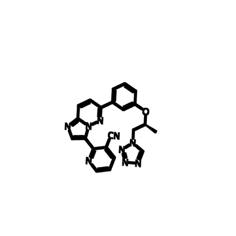 C[C@@H](Cn1cnnn1)Oc1cccc(-c2ccc3ncc(-c4ncccc4C#N)n3n2)c1